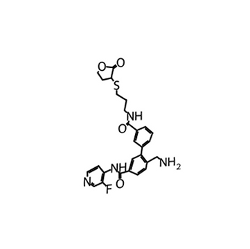 NCc1ccc(C(=O)Nc2ccncc2F)cc1-c1cccc(C(=O)NCCCSC2CCOC2=O)c1